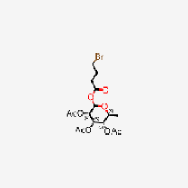 CC(=O)O[C@@H]1[C@@H](OC(C)=O)[C@@H](OC(C)=O)C(OC(=O)CCCBr)O[C@H]1C